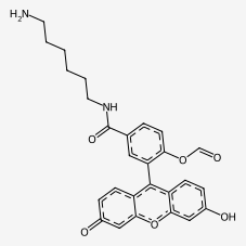 NCCCCCCNC(=O)c1ccc(OC=O)c(-c2c3ccc(=O)cc-3oc3cc(O)ccc23)c1